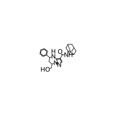 O=C(NC12CC3CC(CC(C3)C1)C2)c1cnn2c1NC(c1ccccc1)CC2CO